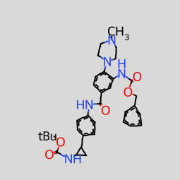 CN1CCN(c2ccc(C(=O)Nc3ccc(C4CC4NC(=O)OC(C)(C)C)cc3)cc2NC(=O)OCc2ccccc2)CC1